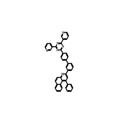 c1ccc(-c2cc(-c3cccc(-c4ccc(-c5nc(-c6cccnc6)nc(-c6cccnc6)n5)cc4)c3)nc3ccc4ccccc4c23)cc1